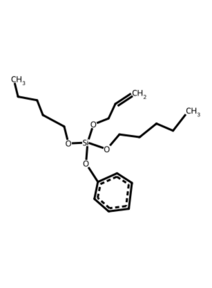 C=CCO[Si](OCCCCC)(OCCCCC)Oc1ccccc1